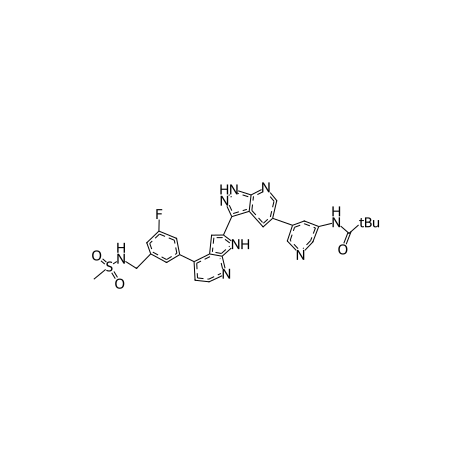 CC(C)(C)C(=O)Nc1cncc(-c2cnc3[nH]nc(-c4cc5c(-c6cc(F)cc(CNS(C)(=O)=O)c6)ccnc5[nH]4)c3c2)c1